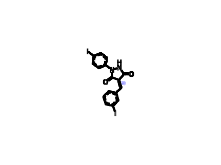 O=C1NN(c2ccc(I)cc2)C(=O)/C1=C\c1cccc(I)c1